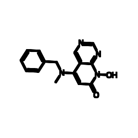 CN(Cc1ccccc1)c1cc(=O)n(O)c2ncncc12